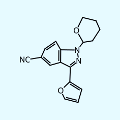 N#Cc1ccc2c(c1)c(-c1ccco1)nn2C1CCCCO1